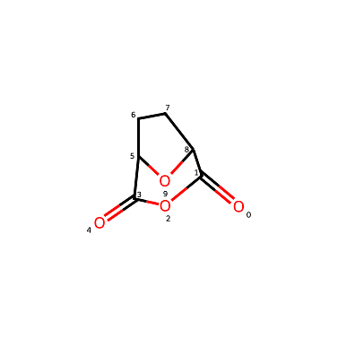 O=C1OC(=O)C2CCC1O2